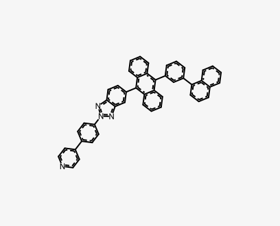 c1cc(-c2cccc3ccccc23)cc(-c2c3ccccc3c(-c3ccc4nn(-c5ccc(-c6ccncc6)cc5)nc4c3)c3ccccc23)c1